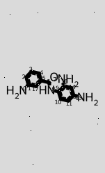 Nc1cccc(C(=O)Nc2ccc(N)cc2N)c1